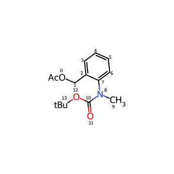 CC(=O)OCc1ccccc1N(C)C(=O)OC(C)(C)C